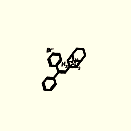 C[N+]1(C)C2CCCC1CC(C=C(c1ccccc1)c1ccccc1)C2.[Br-]